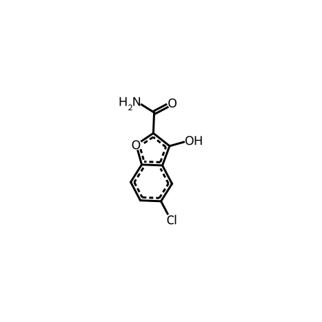 NC(=O)c1oc2ccc(Cl)cc2c1O